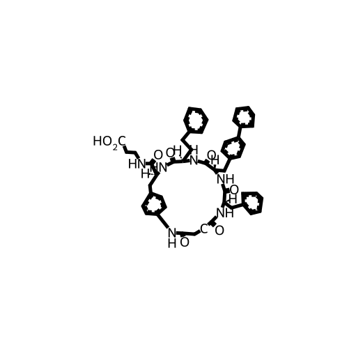 O=C(O)CCNC(=O)[C@@H]1Cc2ccc(cc2)NC(=O)CCC(=O)N[C@H](Cc2ccccc2)C(=O)N[C@@H](Cc2ccc(-c3ccccc3)cc2)C(=O)N[C@H](CCc2ccccc2)C(=O)N1